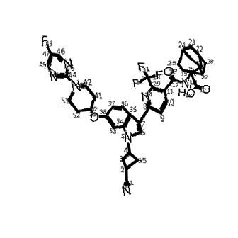 N#CC1CC(n2cc(-c3ccc(C(=O)NC4(C(=O)O)C5CCC6CC(C5)CC4C6)c(C(F)(F)F)n3)c3ccc(OC4CCN(c5ncc(F)cn5)CC4)cc32)C1